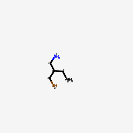 NCC(CS)C[AsH2]